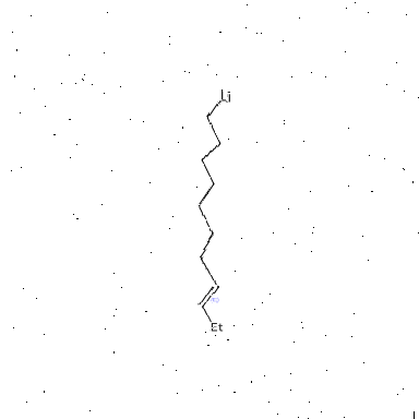 [Li][CH2]CCCCCC/C=C/CC